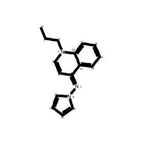 CCCn1ccc(=Nn2cccc2)c2ccccc21